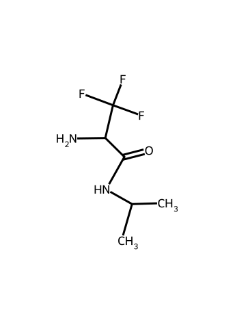 CC(C)NC(=O)C(N)C(F)(F)F